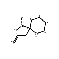 [CH]=CCC1([SiH](C)C)CCCCO1